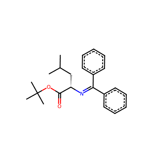 CC(C)C[C@H](N=C(c1ccccc1)c1ccccc1)C(=O)OC(C)(C)C